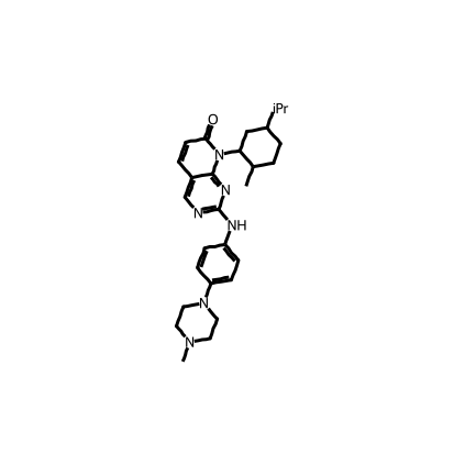 CC(C)C1CCC(C)C(n2c(=O)ccc3cnc(Nc4ccc(N5CCN(C)CC5)cc4)nc32)C1